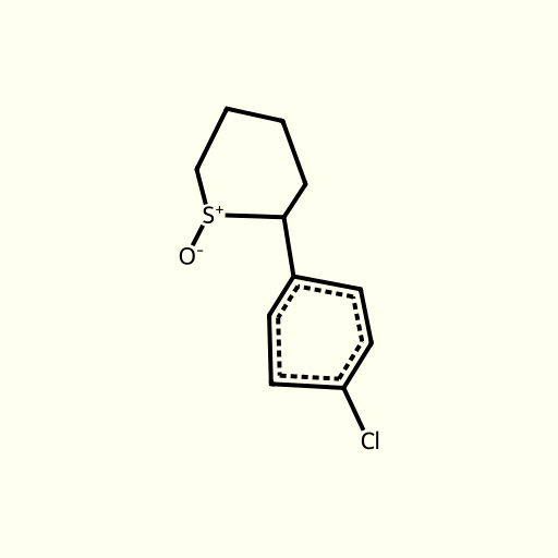 [O-][S+]1CCCCC1c1ccc(Cl)cc1